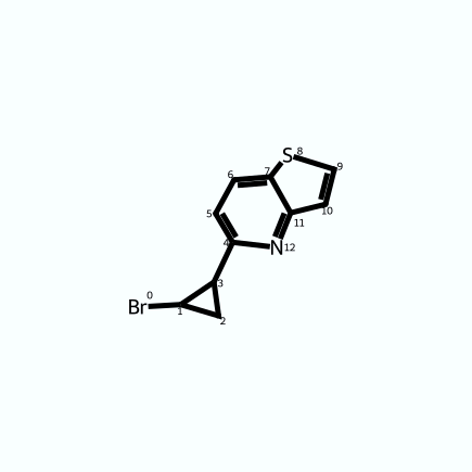 BrC1CC1c1ccc2sccc2n1